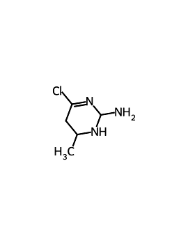 CC1CC(Cl)=NC(N)N1